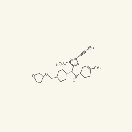 CC1=CC[C@H](C(=O)N(c2cc(C#CC(C)(C)C)sc2C(=O)O)[C@H]2CC[C@H](COC3CCOC3)CC2)CC1